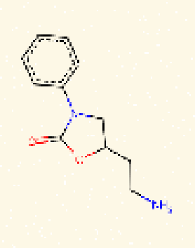 NCCC1CN(c2ccccc2)C(=O)O1